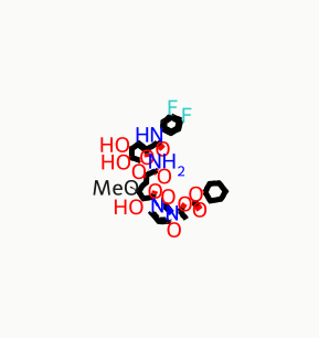 CO[C@H]1[C@@H](O)[C@H](n2ccc(=O)n(C(C)OC(=O)OC3CCCCC3)c2=O)O[C@@H]1[C@@H](O[C@H]1OC(C(=O)Nc2ccc(F)c(F)c2)=C[C@H](O)[C@@H]1O)C(N)=O